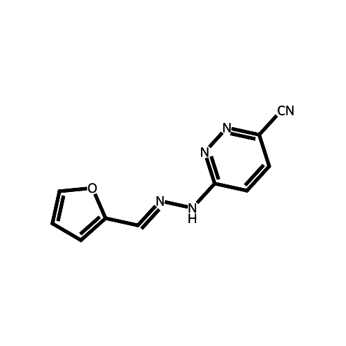 N#Cc1ccc(NN=Cc2ccco2)nn1